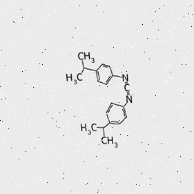 CC(C)c1ccc(N=C=Nc2ccc(C(C)C)cc2)cc1